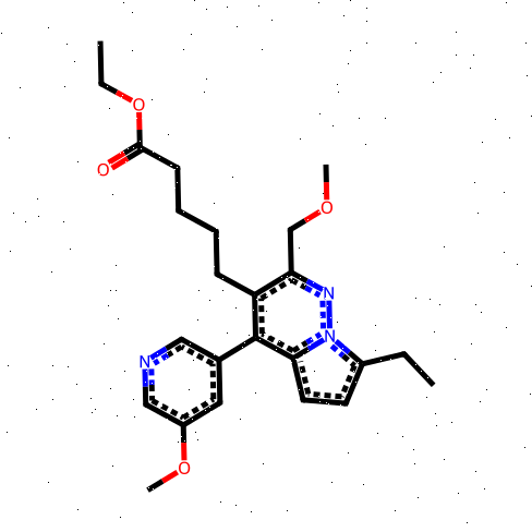 CCOC(=O)CCCCc1c(COC)nn2c(CC)ccc2c1-c1cncc(OC)c1